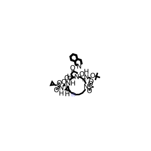 CC(C)(C)OC(=O)N[C@H]1CN(S(C)(=O)=O)CCC/C=C\[C@@H]2C[C@@]2(C(=O)NS(=O)(=O)C2CC2)NC(=O)[C@@H]2C[C@@H](Oc3nccc4ccccc34)CN2C1=O